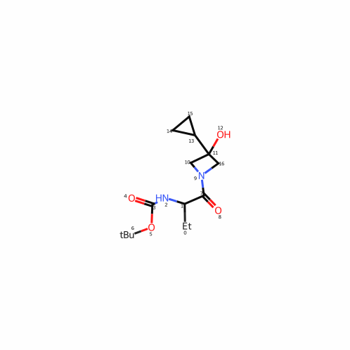 CCC(NC(=O)OC(C)(C)C)C(=O)N1CC(O)(C2CC2)C1